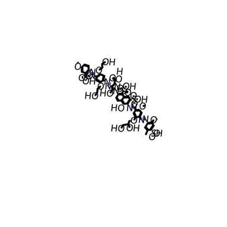 COc1ccc(/N=N/c2cc(OCCO)c(/N=N/c3c(C(=O)O)nn(-c4ccc5c(O)c(/N=N/c6cc(OCC(O)CO)c(/N=N/c7cc(C)c([SH](=O)=O)cc7OC)cc6OC)c(S(=O)(=O)O)cc5c4S(=O)(=O)O)c3O)cc2OCCO)c(S(=O)(=O)O)c1